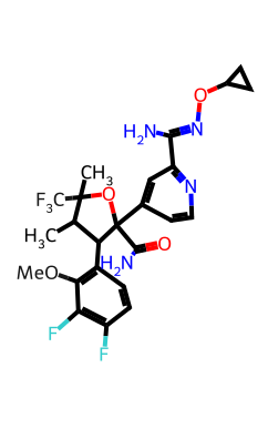 COc1c(C2C(C)C(C)(C(F)(F)F)OC2(C(N)=O)c2ccnc(/C(N)=N/OC3CC3)c2)ccc(F)c1F